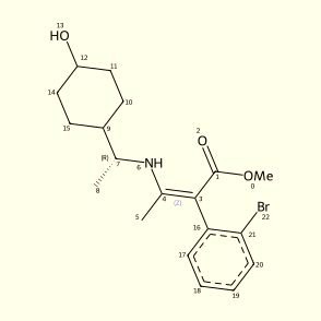 COC(=O)/C(=C(/C)N[C@H](C)C1CCC(O)CC1)c1ccccc1Br